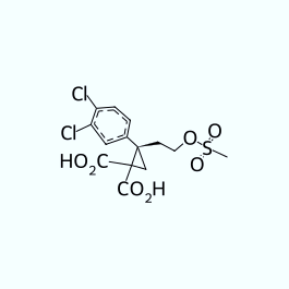 CS(=O)(=O)OCC[C@@]1(c2ccc(Cl)c(Cl)c2)CC1(C(=O)O)C(=O)O